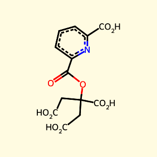 O=C(O)CC(CC(=O)O)(OC(=O)c1cccc(C(=O)O)n1)C(=O)O